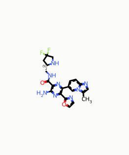 Cc1cnc2ccc(-c3nc(C(=O)NC[C@@H]4CC(F)(F)CN4)c(N)nc3-c3ncco3)cn12